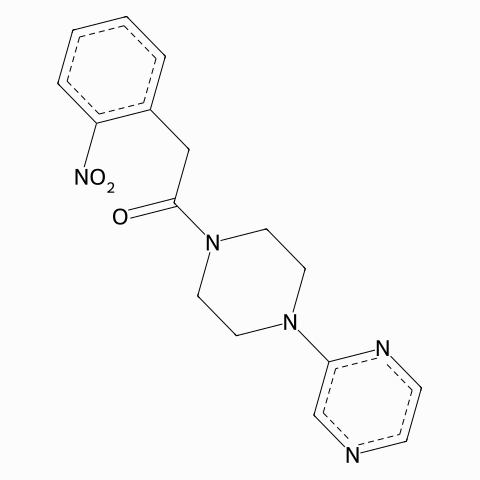 O=C(Cc1ccccc1[N+](=O)[O-])N1CCN(c2cnccn2)CC1